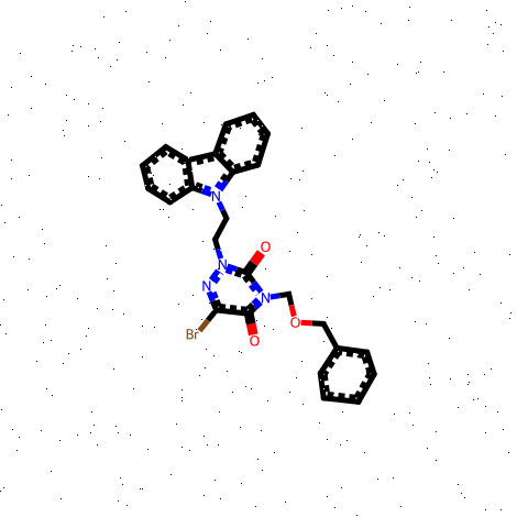 O=c1c(Br)nn(CCn2c3ccccc3c3ccccc32)c(=O)n1COCc1ccccc1